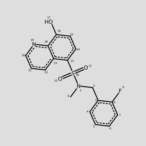 CN(Cc1ccccc1F)S(=O)(=O)c1ccc(O)c2ncccc12